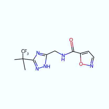 CC(C)(c1n[nH]c(CNC(=O)c2ccno2)n1)C(F)(F)F